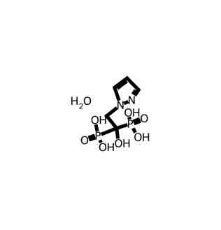 O.O=P(O)(O)C(O)(Cn1cccn1)P(=O)(O)O